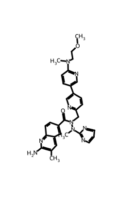 COCCN(C)c1ccc(-c2ccc(CN(C(=O)c3ccc4nc(N)c(C)cc4c3)N(C)c3ncccn3)nc2)cn1